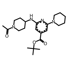 CC(=O)N1CCC(Nc2cc(C(=O)OC(C)(C)C)cc(N3CCCCC3)n2)CC1